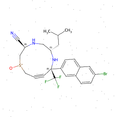 CC(C)C[C@H]1CN[C@H](C#N)C[S+]([O-])CC#C[C@](c2ccc3cc(Br)ccc3c2)(C(F)(F)F)N1